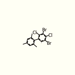 Cc1cc(C)c(-c2[c]c(Br)c(Cl)c(Br)c2Cl)c(C)c1